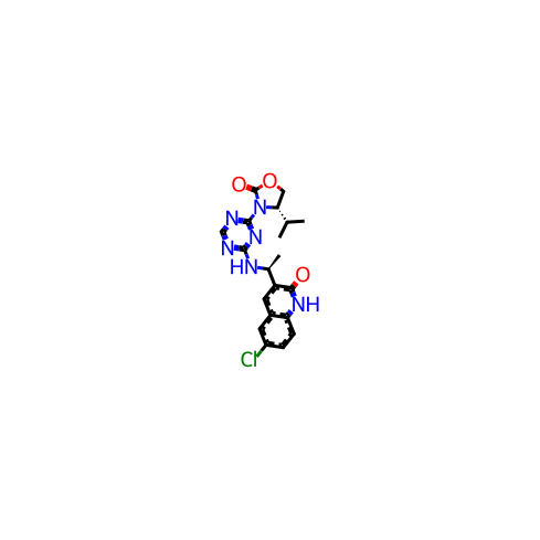 CC(C)[C@H]1COC(=O)N1c1ncnc(N[C@@H](C)c2cc3cc(Cl)ccc3[nH]c2=O)n1